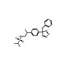 CC(CNS(=O)(=O)C(C)C)c1ccc(C2(Cc3ccccc3)N=NN=N2)cc1